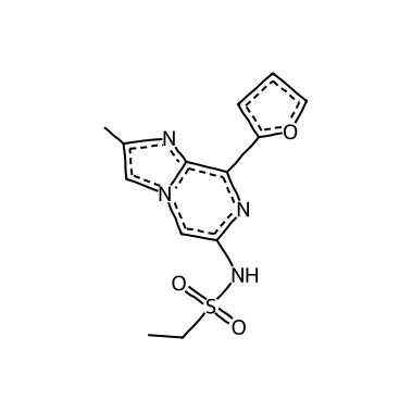 CCS(=O)(=O)Nc1cn2cc(C)nc2c(-c2ccco2)n1